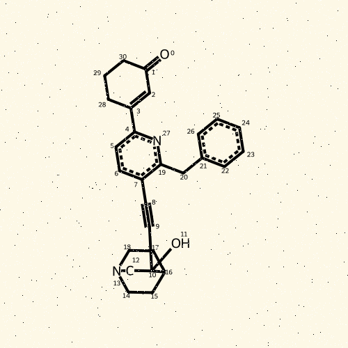 O=C1C=C(c2ccc(C#CC3(O)CN4CCC3CC4)c(Cc3ccccc3)n2)CCC1